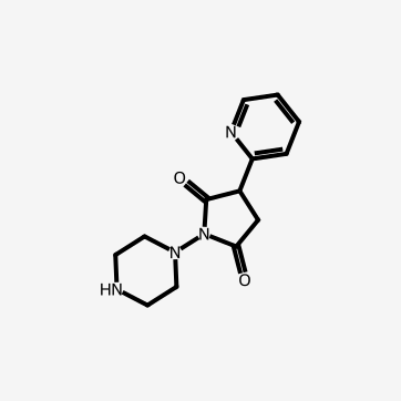 O=C1CC(c2ccccn2)C(=O)N1N1CCNCC1